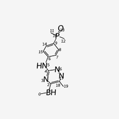 CBc1nc(Nc2ccc(P(C)(C)=O)cc2)nnc1C